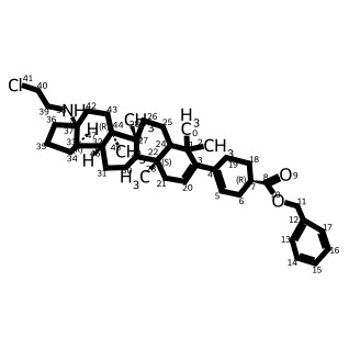 CC1(C)C(C2=CC[C@H](C(=O)OCc3ccccc3)CC2)=CC[C@@]2(C)C1CC[C@]1(C)C2CC[C@@H]2[C@H]3CCC[C@]3(NCCCl)CC[C@]21C